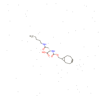 CCCCCNC(=O)C[C@H](NC(=O)OCC1C2CCC#CCCC21)C(=O)O